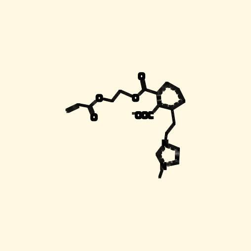 C=CC(=O)OCCOC(=O)c1cccc(CCn2cc[n+](C)c2)c1C(=O)[O-]